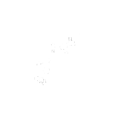 CCOc1cc(C(=O)N2CCC3(CC2)CC(=O)c2cc(-c4nnn[nH]4)ccc2O3)cc2nc(C3CC3)oc12